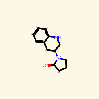 O=C1CCCN1[C@@H]1CNc2ccccc2C1